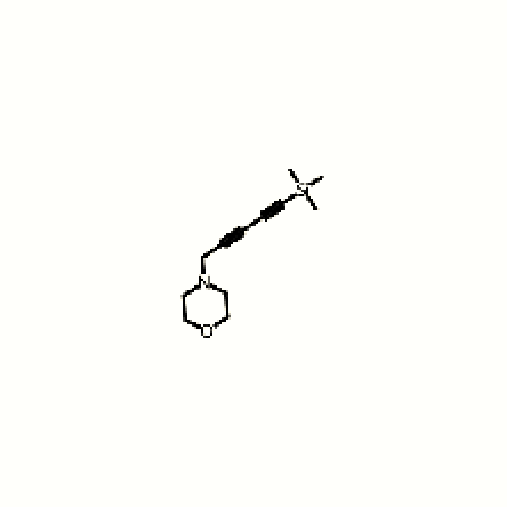 C[Si](C)(C)C#CC#CCN1CCOCC1